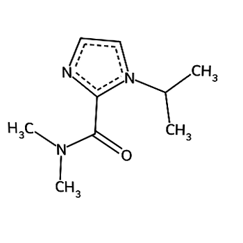 CC(C)n1ccnc1C(=O)N(C)C